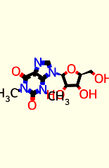 Cn1c(=O)c2ncn([C@H]3O[C@@H](CO)C(O)C3O)c2n(C)c1=O